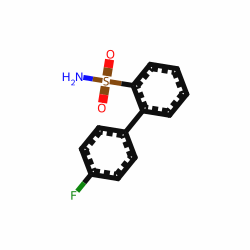 NS(=O)(=O)c1ccccc1-c1ccc(F)cc1